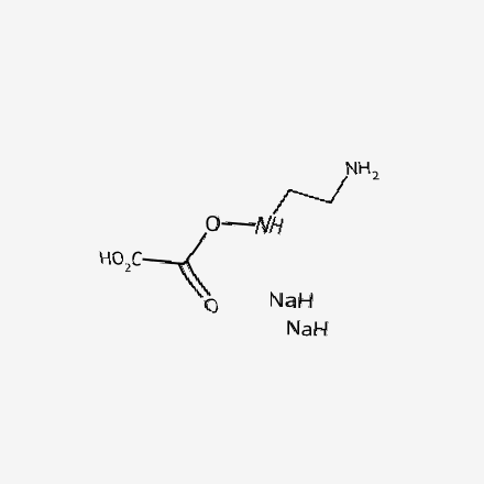 NCCNOC(=O)C(=O)O.[NaH].[NaH]